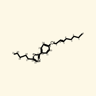 CCCCCC=CCOc1ccc(-c2ncc(CCCCC)s2)cc1